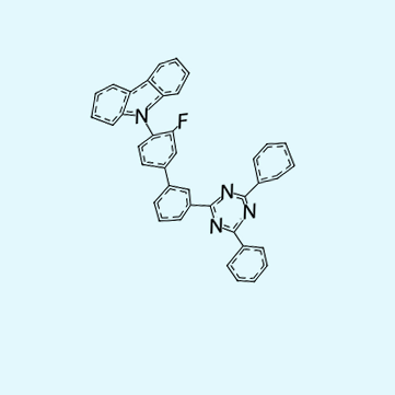 Fc1cc(-c2cccc(-c3nc(-c4ccccc4)nc(-c4ccccc4)n3)c2)ccc1-n1c2ccccc2c2ccccc21